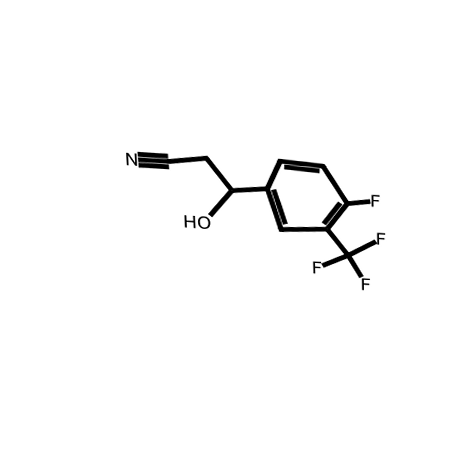 N#CCC(O)c1ccc(F)c(C(F)(F)F)c1